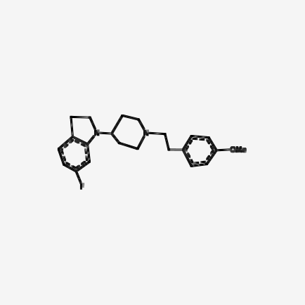 COc1ccc(CCN2CCC(N3CCc4ccc(F)cc43)CC2)cc1